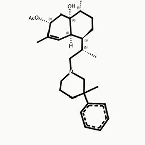 CC(=O)O[C@@H]1[C][C@@]2(O)[C@H](C)CC[C@@H]([C@H](C)CN3CCCC(C)(c4ccccc4)C3)[C@H]2C=C1C